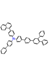 c1ccc(-c2ccc(N(c3ccc(-c4ccc(-c5ccc(-c6ccccc6)c(-c6ccccc6)c5)cc4)cc3)c3ccc(-c4cccc5ccccc45)cc3)cc2)cc1